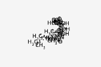 CC(C)=CCCC(C)=CCCC(C)=CCCC(C)=CC[C@@]1(n2cnc3c(=O)[nH]c(N)nc32)O[C@H](COP(=O)(O)OP(=O)(O)OP(=O)(O)O)[C@@H](O)[C@H]1O